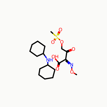 C1CCC(NC2CCCCC2)CC1.CON=C(C(=O)O)C(=O)COS(C)(=O)=O